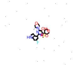 C[C@@H]1COCCN1c1nc(-c2cc(F)cc3[nH]ccc23)nc(C2(S(C)(=O)=O)CCOCC2)c1O